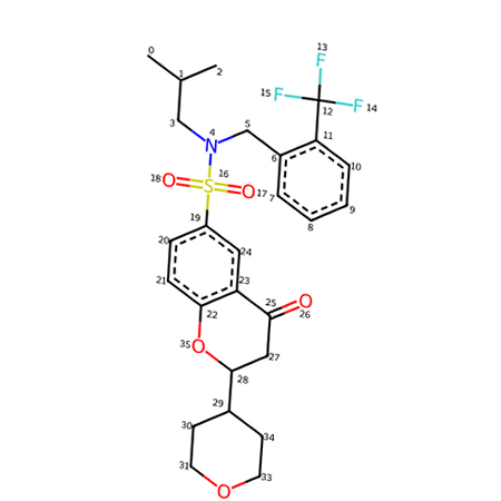 CC(C)CN(Cc1ccccc1C(F)(F)F)S(=O)(=O)c1ccc2c(c1)C(=O)CC(C1CCOCC1)O2